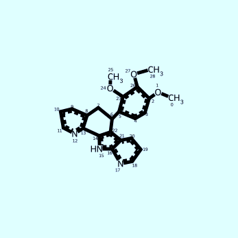 COc1ccc(C2Cc3cccnc3-c3[nH]c4ncccc4c32)c(OC)c1OC